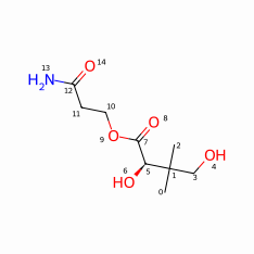 CC(C)(CO)[C@@H](O)C(=O)OCCC(N)=O